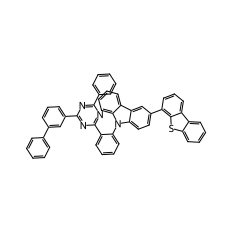 c1ccc(-c2cccc(-c3nc(-c4ccccc4)nc(-c4ccccc4-n4c5ccccc5c5cc(-c6cccc7c6sc6ccccc67)ccc54)n3)c2)cc1